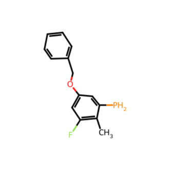 Cc1c(F)cc(OCc2ccccc2)cc1P